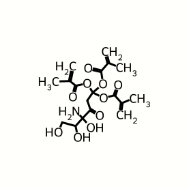 C=C(C)C(=O)OC(CC(=O)C(N)(O)C(O)CO)(OC(=O)C(=C)C)OC(=O)C(=C)C